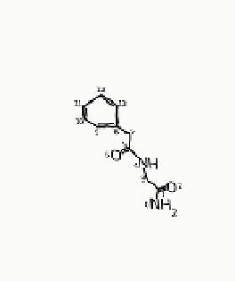 NC(=O)CNC(=O)[CH]c1ccccc1